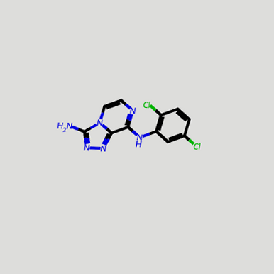 Nc1nnc2c(Nc3cc(Cl)ccc3Cl)nccn12